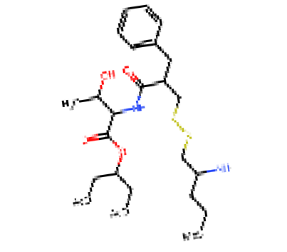 CSCCC([NH])CSSCC(Cc1ccccc1)C(=O)NC(C(=O)OC(COC(C)=O)COC(C)=O)C(C)O